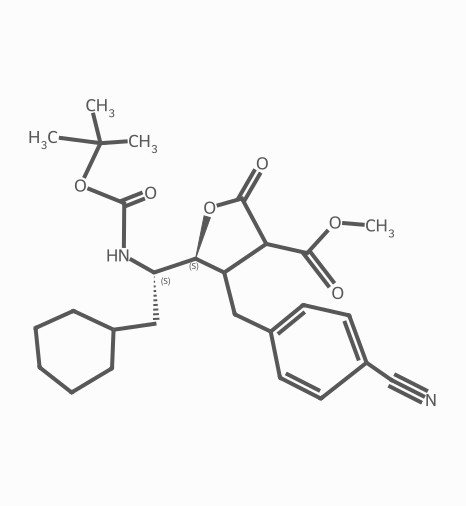 COC(=O)C1C(=O)O[C@H]([C@H](CC2CCCCC2)NC(=O)OC(C)(C)C)C1Cc1ccc(C#N)cc1